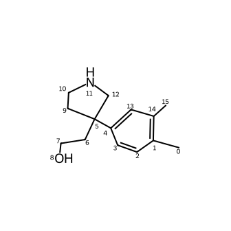 Cc1ccc(C2(CCO)CCNC2)cc1C